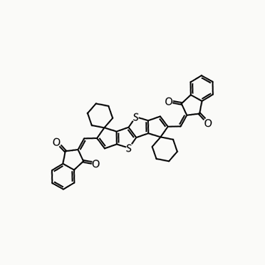 O=C1C(=CC2=Cc3sc4c5c(sc4c3C23CCCCC3)C=C(C=C2C(=O)c3ccccc3C2=O)C52CCCCC2)C(=O)c2ccccc21